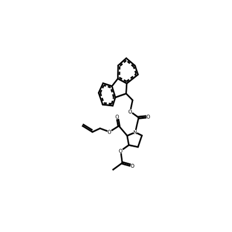 C=CCOC(=O)C1C(OC(C)=O)CCN1C(=O)OCC1c2ccccc2-c2ccccc21